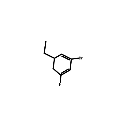 CCC1C=C(Br)C=C(F)C1